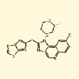 C[C@@H]1C[C@H](n2c(Cc3cn4ncsc4n3)nc3cnc4ccc(Cl)cc4c32)CCO1